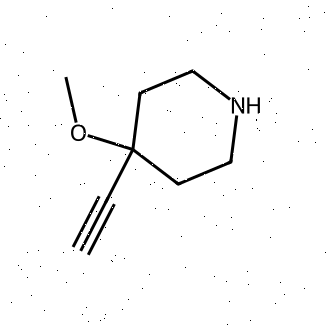 C#CC1(OC)CCNCC1